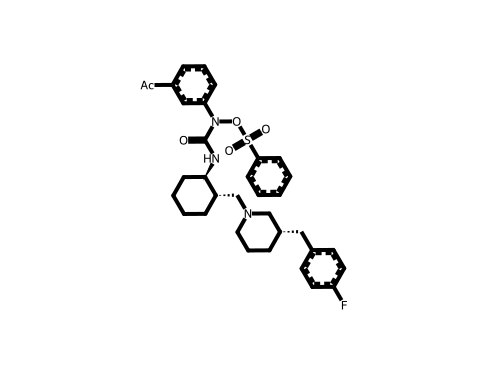 CC(=O)c1cccc(N(OS(=O)(=O)c2ccccc2)C(=O)N[C@@H]2CCCC[C@H]2CN2CCC[C@@H](Cc3ccc(F)cc3)C2)c1